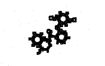 CN1CCN(C(=O)c2cncnc2Oc2cc(Cl)ccc2Cl)c2ccccc21